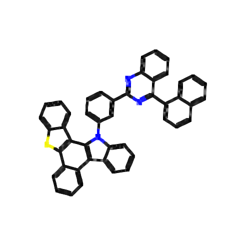 c1cc(-c2nc(-c3cccc4ccccc34)c3ccccc3n2)cc(-n2c3ccccc3c3c4ccccc4c4sc5ccccc5c4c32)c1